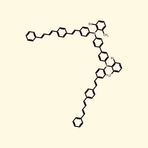 CCc1cccc(C)c1N(c1ccc(/C=C/c2ccc(/C=C/C=C/c3ccccc3)cc2)cc1)c1ccc(-c2ccc(N(c3ccc(/C=C/c4ccc(/C=C/C=C/c5ccccc5)cc4)cc3)c3c(C)cccc3CC)cc2)cc1